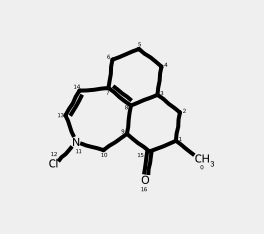 CC1CC2CCCC3=C2C(CN(Cl)C=C3)C1=O